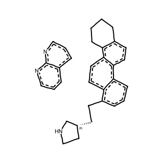 c1cc(CC[C@@H]2CCNC2)c2ccc3c4c(ccc3c2c1)CCCC4.c1cnc2ncccc2c1